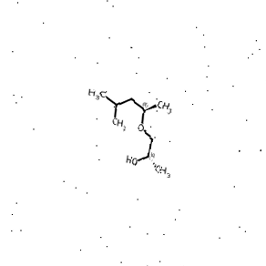 CC(C)C[C@@H](C)OC[C@H](C)O